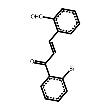 O=Cc1ccccc1/C=C/C(=O)c1ccccc1Br